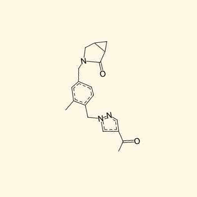 CC(=O)c1cnn(Cc2ccc(CN3CC4CC4C3=O)cc2C)c1